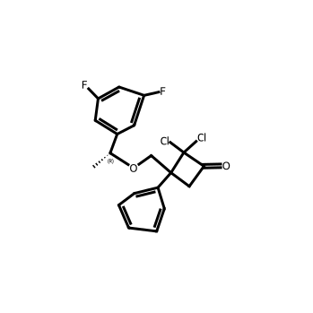 C[C@@H](OCC1(c2ccccc2)CC(=O)C1(Cl)Cl)c1cc(F)cc(F)c1